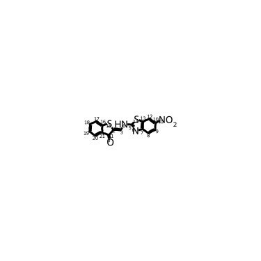 O=C1C(=CNc2nc3ccc([N+](=O)[O-])cc3s2)Sc2ccccc21